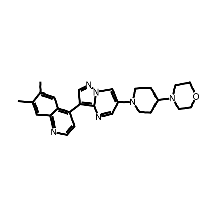 Cc1cc2nccc(-c3cnn4cc(N5CCC(N6CCOCC6)CC5)cnc34)c2cc1C